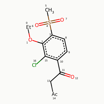 CCOc1c(S(C)(=O)=O)ccc(C(=O)CC(C)=O)c1Cl